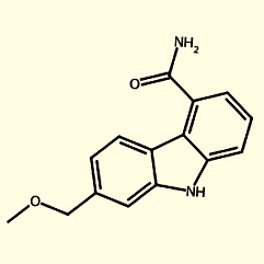 COCc1ccc2c(c1)[nH]c1cccc(C(N)=O)c12